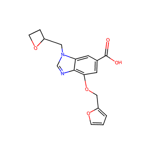 O=C(O)c1cc(OCc2ccco2)c2ncn(CC3CCO3)c2c1